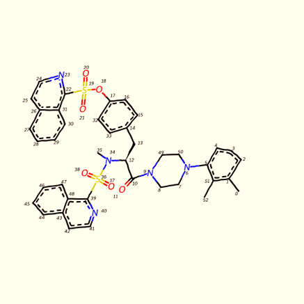 Cc1cccc(N2CCN(C(=O)[C@H](Cc3ccc(OS(=O)(=O)c4nccc5ccccc45)cc3)N(C)S(=O)(=O)c3nccc4ccccc34)CC2)c1C